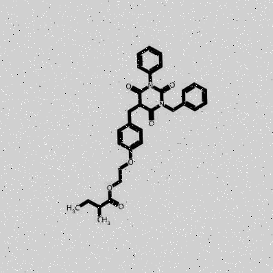 CCC(C)C(=O)OCCOc1ccc(CC2C(=O)N(Cc3ccccc3)C(=O)N(c3ccccc3)C2=O)cc1